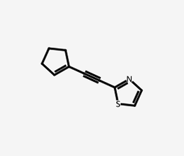 C(#Cc1nccs1)C1=CCCC1